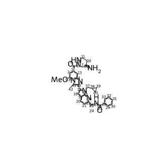 COc1cc(C(=O)N2C[C@H](N)CCN2)cc2nc(-c3cc4ccc([C@@H](C)NC(=O)c5ccccc5)nc4n3CC3CC3)c(C)n12